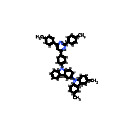 Cc1ccc(-c2cc(-c3ccc(-n4c5ccccc5c5cc(-n6c7ccc(C)cc7c7cc(C)ccc76)ccc54)cc3)nc(-c3ccc(C)cc3)n2)cc1